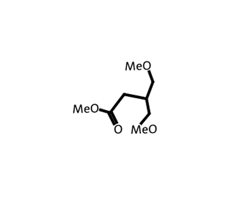 COCC(COC)CC(=O)OC